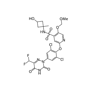 COCOc1cnc(Oc2c(Cl)cc(-n3nc(C(F)F)c(=O)[nH]c3=O)cc2Cl)cc1S(=O)(=O)NC1(C)CC(O)C1